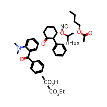 CC(=O)O.CCCCCCC(C)ON=O.CCCCOC(C)=O.CCOC(C)=O.CN(C)c1ccccc1C(=O)c1ccccc1.O=C1CCCCC1c1ccccc1